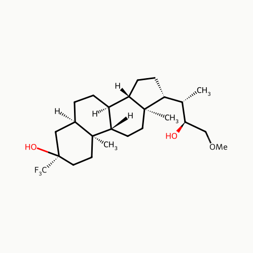 COC[C@@H](O)[C@@H](C)[C@H]1CC[C@H]2[C@@H]3CC[C@@H]4C[C@@](O)(C(F)(F)F)CC[C@]4(C)[C@H]3CC[C@]12C